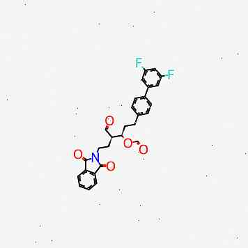 O=CO[C@H](CCc1ccc(-c2cc(F)cc(F)c2)cc1)[C@H](C=O)CCN1C(=O)c2ccccc2C1=O